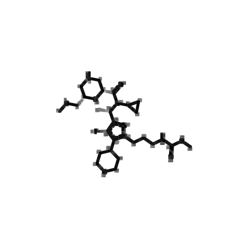 COC[C@@H]1CNC[C@H](C(=O)N(C2CC2)[C@@H](C)c2nn(CCCNC(=O)OC)c(C3CCOCC3)c2F)O1